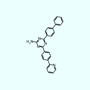 Nc1nc(-c2ccc(-c3ccccc3)cc2)nc(-c2ccc(-c3ccccn3)cc2)n1